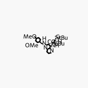 CCCCC(C)(CO[Si](C)(C)C(C)(C)C)Nc1c(C(=O)O)c(NCc2ccc(OC)cc2OC)nc2cccnc12